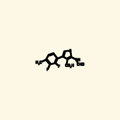 Cc1ccc(-c2csc(NC=O)c2C(=O)O)c(F)c1F